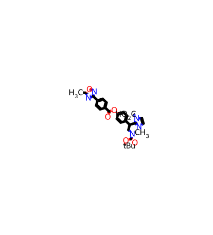 Cc1nc(-c2ccc(C(=O)Oc3ccc(C(CN(C)C(=O)OC(C)(C)C)c4nccn4C(=O)O)cc3)cc2)no1